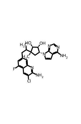 CC(Cc1cc(F)c2cc(Cl)c(N)nc2c1)[C@@]1(C)C[C@@H](n2ccc3c(N)ncnc32)[C@H](O)[C@@H]1O